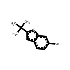 CC(C)(C)c1cc2ccc(S)cc2s1